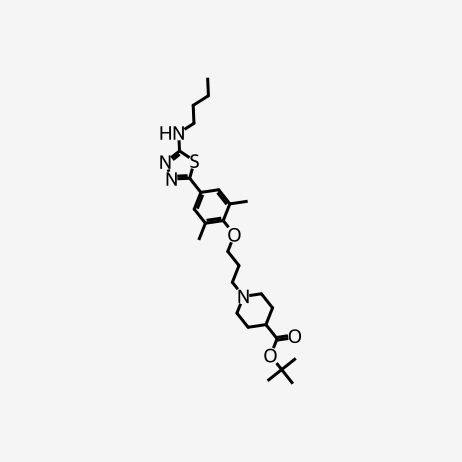 CCCCNc1nnc(-c2cc(C)c(OCCCN3CCC(C(=O)OC(C)(C)C)CC3)c(C)c2)s1